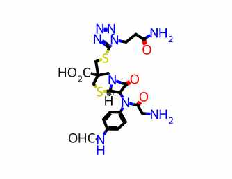 NCC(=O)N(c1ccc(NC=O)cc1)C1C(=O)N2CC(CSc3nnnn3CCC(N)=O)(C(=O)O)CS[C@H]12